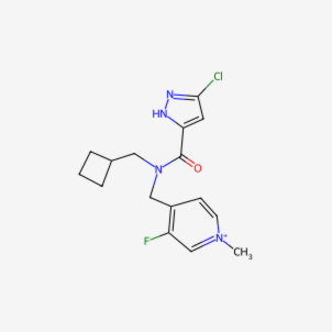 C[n+]1ccc(CN(CC2CCC2)C(=O)c2cc(Cl)n[nH]2)c(F)c1